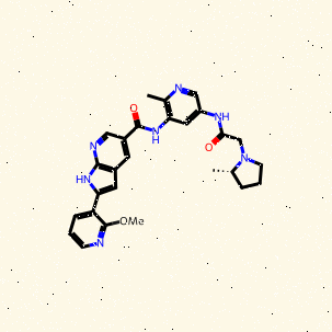 COc1ncccc1-c1cc2cc(C(=O)Nc3cc(NC(=O)CN4CCC[C@@H]4C)cnc3C)cnc2[nH]1